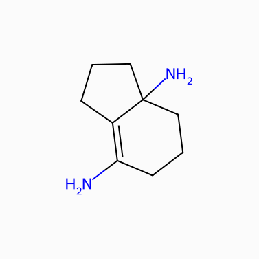 NC1=C2CCCC2(N)CCC1